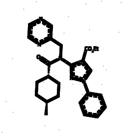 CCOC(=O)c1cn(-c2ccccc2)nc1N(Cc1cnccn1)C(=O)[C@H]1CC[C@H](C)CC1